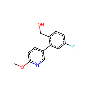 COc1ccc(-c2cc(F)ccc2CO)cn1